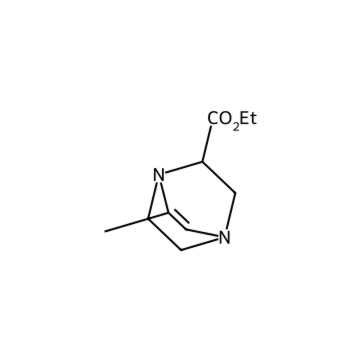 CCOC(=O)C1CN2C=C(C)N1CC2